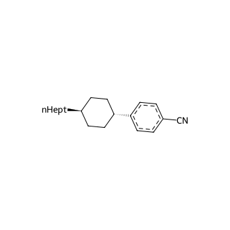 CCCCCCC[C@H]1CC[C@H](c2ccc(C#N)cc2)CC1